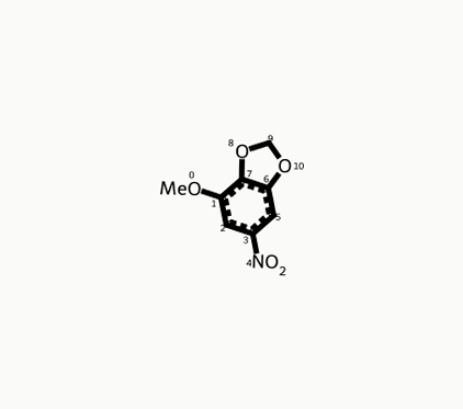 COc1cc([N+](=O)[O-])cc2c1OCO2